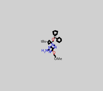 COCCOc1nc(N)nc2c1ncn2[C@]1(CO[SiH](c2ccccc2)c2ccccc2)C[C@H](C(C)(C)C)C1